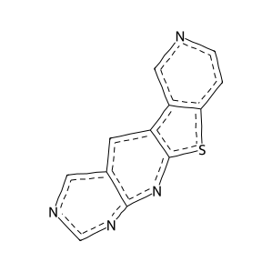 c1cc2sc3nc4ncncc4cc3c2cn1